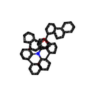 c1ccc(-c2ccccc2N(c2ccc(-c3cccc4c3ccc3ccccc34)cc2)c2ccccc2-c2cccc3oc4c5ccccc5ccc4c23)cc1